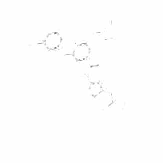 COC[C@@H](C)Oc1cc(C(=O)Nc2nc(CC(=O)O)cs2)cc(Oc2cccc(F)c2)n1